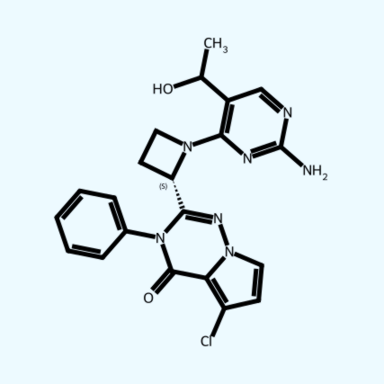 CC(O)c1cnc(N)nc1N1CC[C@H]1c1nn2ccc(Cl)c2c(=O)n1-c1ccccc1